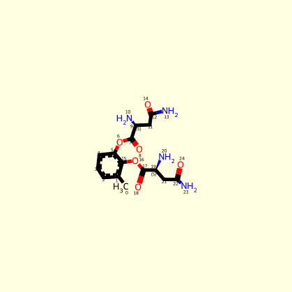 Cc1cccc(OC(=O)[C@@H](N)CC(N)=O)c1OC(=O)[C@@H](N)CC(N)=O